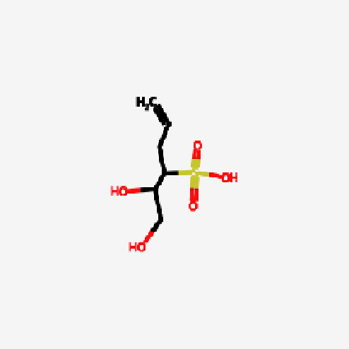 C=CCC(C(O)CO)S(=O)(=O)O